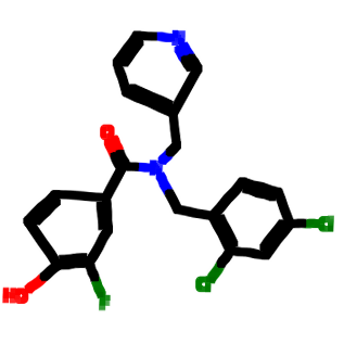 O=C(c1ccc(O)c(F)c1)N(Cc1cccnc1)Cc1ccc(Cl)cc1Cl